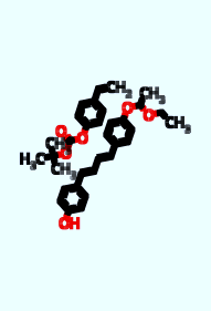 C=Cc1ccc(OC(=O)OC(C)(C)C)cc1.CCOC(C)Oc1ccc(C=CC=Cc2ccc(O)cc2)cc1